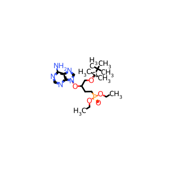 CCOP(=O)(CCC(CO[Si](C)(C)C(C)(C)C)On1cnc2c(N)ncnc21)OCC